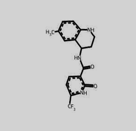 Cc1ccc2c(c1)C(NC(=O)c1ccc(C(F)(F)F)[nH]c1=O)CCN2